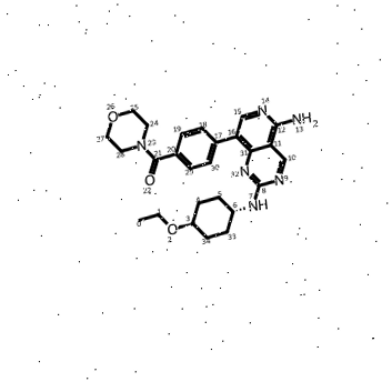 CCO[C@H]1CC[C@H](Nc2ncc3c(N)ncc(-c4ccc(C(=O)N5CCOCC5)cc4)c3n2)CC1